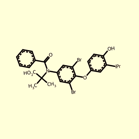 CC(C)c1cc(Oc2c(Br)cc(N(C(=O)c3ccccc3)C(C)(C)C(=O)O)cc2Br)ccc1O